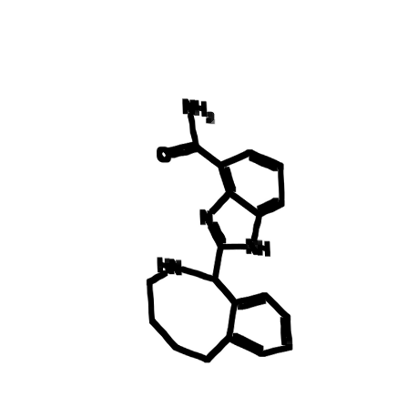 NC(=O)c1cccc2[nH]c(C3NCCCCc4ccccc43)nc12